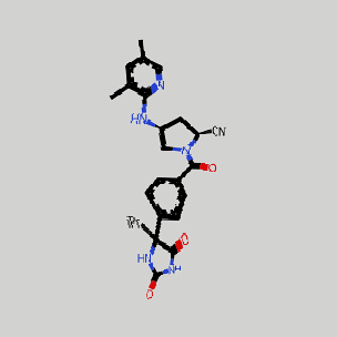 Cc1cnc(N[C@H]2C[C@@H](C#N)N(C(=O)c3ccc(C4(C(C)C)NC(=O)NC4=O)cc3)C2)c(C)c1